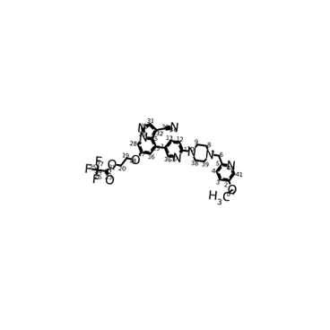 COc1ccc(CN2CCN(c3ccc(-c4cc(OCCOC(=O)C(F)(F)F)cn5ncc(C#N)c45)cn3)CC2)nc1